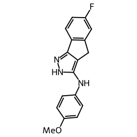 COc1ccc(Nc2[nH]nc3c2Cc2cc(F)ccc2-3)cc1